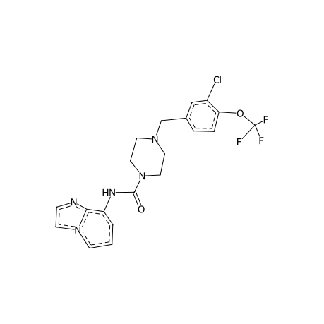 O=C(Nc1cccn2ccnc12)N1CCN(Cc2ccc(OC(F)(F)F)c(Cl)c2)CC1